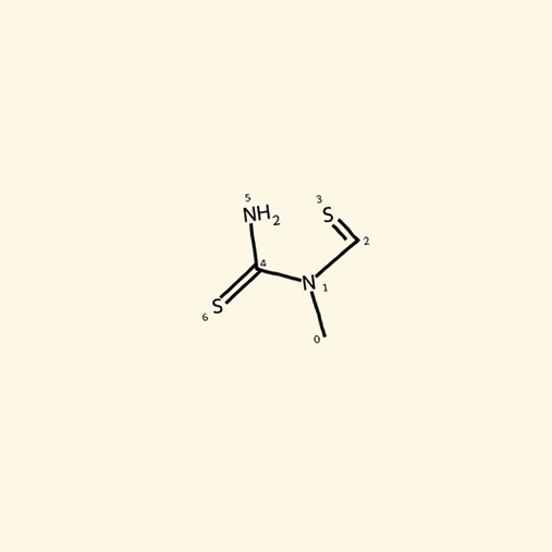 CN(C=S)C(N)=S